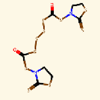 O=C(SSSSC(=O)SN1CCSC1=S)SN1CCSC1=S